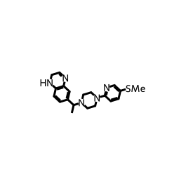 CSc1ccc(N2CCN(C(C)c3ccc4c(c3)N=CCN4)CC2)nc1